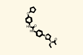 CCN(C(C)=O)C1CCN(c2ccc(NC(=O)Nc3ccc(OC4CCCC4)cc3)cc2)C1